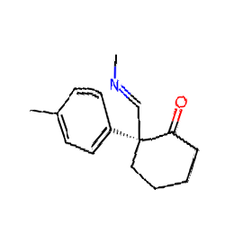 C/N=C/[C@]1(c2ccc(C)cc2)CCCCC1=O